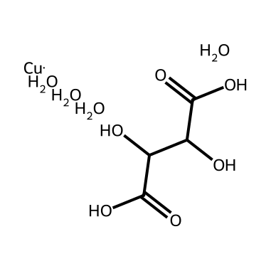 O.O.O.O.O=C(O)C(O)C(O)C(=O)O.[Cu]